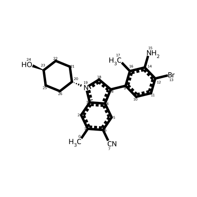 Cc1cc2c(cc1C#N)c(-c1ccc(Br)c(N)c1C)cn2[C@H]1CC[C@H](O)CC1